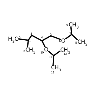 CC(C)CC(COC(C)C)OC(C)C